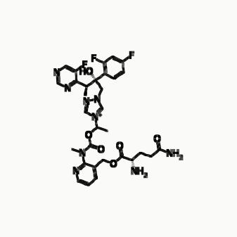 CC(OC(=O)N(C)c1ncccc1COC(=O)[C@@H](N)CCC(N)=O)[n+]1cnn(C[C@](O)(c2ccc(F)cc2F)[C@@H](C)c2ncncc2F)c1